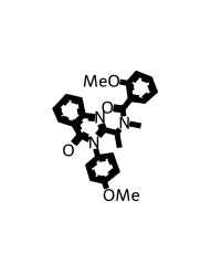 COc1ccc(-n2c(C(C)N(C)C(=O)c3ccccc3OC)nc3ccccc3c2=O)cc1